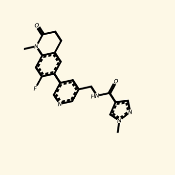 CN1C(=O)CCc2cc(-c3cncc(CNC(=O)c4cnn(C)c4)c3)c(F)cc21